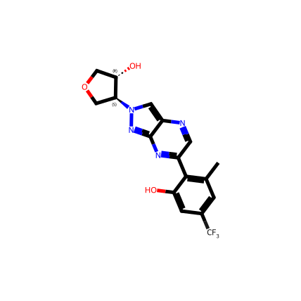 Cc1cc(C(F)(F)F)cc(O)c1-c1cnc2cn([C@H]3COC[C@@H]3O)nc2n1